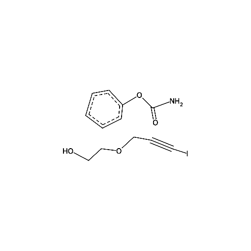 NC(=O)Oc1ccccc1.OCCOCC#CI